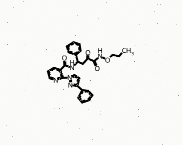 CCCONC(=O)C(=O)CC(NC(=O)c1cccnc1-n1ccc(-c2ccccc2)n1)c1ccccc1